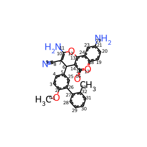 COc1ccc(C2C(C#N)=C(N)Oc3c2c(=O)oc2ccc(N)cc32)cc1-c1ccccc1C